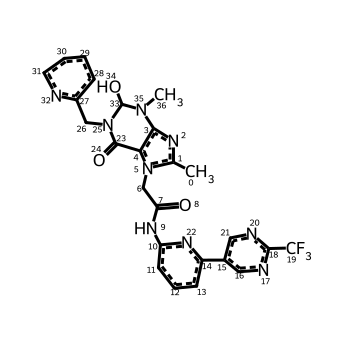 Cc1nc2c(n1CC(=O)Nc1cccc(-c3cnc(C(F)(F)F)nc3)n1)C(=O)N(Cc1ccccn1)C(O)N2C